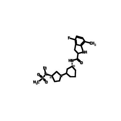 CCN([C@@H]1CCN(C2CCC[C@@H](NC(=O)C3Cc4c(F)ccc(C)c4N3)C2)C1)S(C)(=O)=O